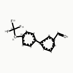 O=Cc1cccc(-c2ccc(OC(F)(F)F)cc2)c1